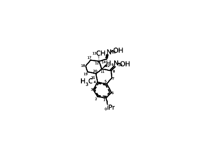 CC(C)c1ccc2c(c1)C/C(=N\O)[C@H]1[C@](C)(/C=N/O)CCC[C@]21C